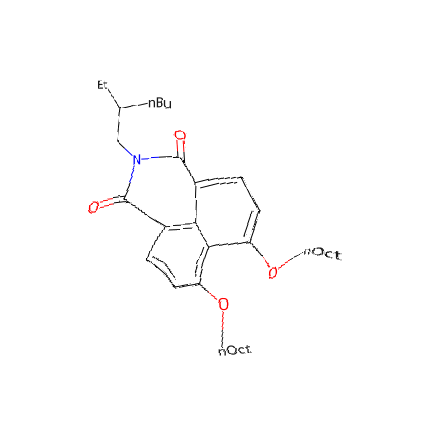 CCCCCCCCOc1ccc2c3c(ccc(OCCCCCCCC)c13)C(=O)N(CC(CC)CCCC)C2=O